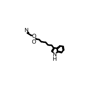 N#CCOC(=O)CCCCCc1c[nH]c2ccccc12